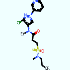 CCN(C(=O)CCS(=O)(=S)N(C)CCC(F)(F)F)c1cn(-c2cccnc2)nc1Cl